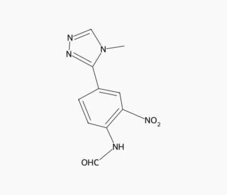 Cn1cnnc1-c1ccc(NC=O)c([N+](=O)[O-])c1